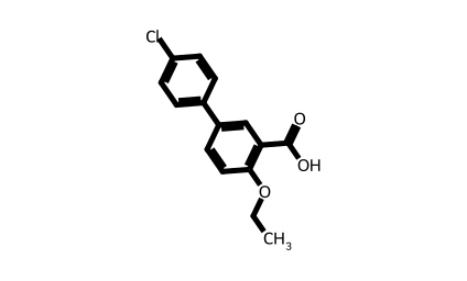 CCOc1ccc(-c2ccc(Cl)cc2)cc1C(=O)O